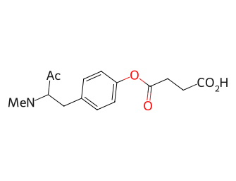 CNC(Cc1ccc(OC(=O)CCC(=O)O)cc1)C(C)=O